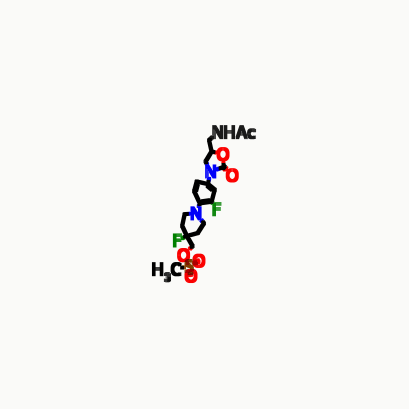 CC(=O)NCC1CN(c2ccc(N3CCC(F)(COS(C)(=O)=O)CC3)c(F)c2)C(=O)O1